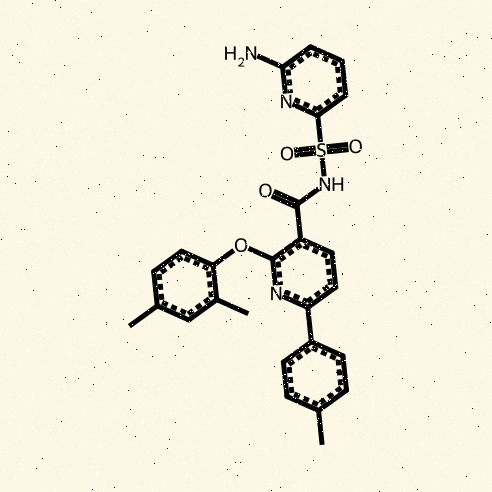 Cc1ccc(-c2ccc(C(=O)NS(=O)(=O)c3cccc(N)n3)c(Oc3ccc(C)cc3C)n2)cc1